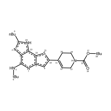 CCCCc1nc2c(NC(C)(C)C)nc3cc(C4=CCN(C(=O)OC(C)(C)C)CC4)sc3c2[nH]1